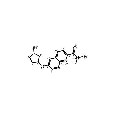 CC(C)N1CCC(Oc2ccc3nc(C(=O)N(C)C(C)C)ccc3c2)C1